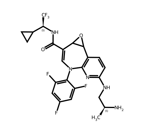 C[C@H](N)CNc1ccc2c(n1)N(c1c(F)cc(F)cc1F)C=C(C(=O)N[C@@H](C1CC1)C(F)(F)F)C1OC21